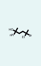 CCCC(C)(O)CCC(C)(Br)CC